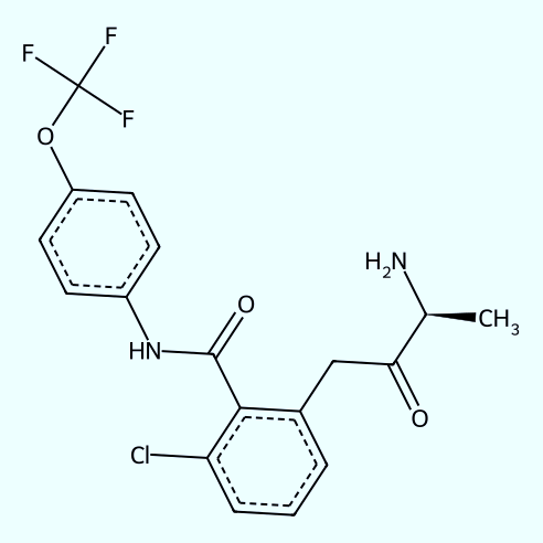 C[C@H](N)C(=O)Cc1cccc(Cl)c1C(=O)Nc1ccc(OC(F)(F)F)cc1